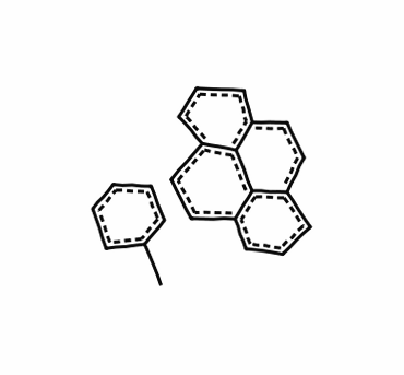 Cc1ccccc1.c1cc2ccc3cccc4ccc(c1)c2c34